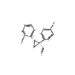 O=C[C@]1(c2ccc(F)cc2)C[C@@H]1c1ccccc1Cl